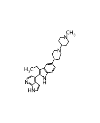 CCc1c(-c2ccnc3[nH]ccc23)[nH]c2ccc(C3CCN(C4CCN(C)CC4)CC3)cc12